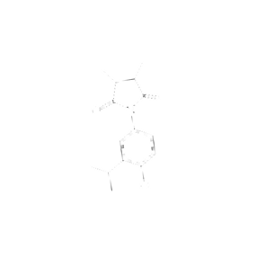 CC(C)c1cc(N2C(=O)C(C)C(C)C2=O)ccc1O